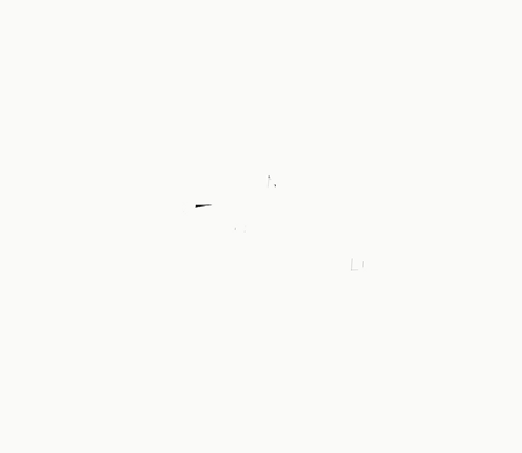 CCC#CC1=NC[C@H](C)O1